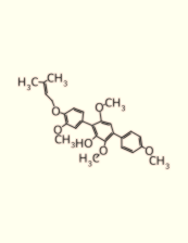 COc1ccc(-c2cc(OC)c(-c3ccc(OCC=C(C)C)c(OC)c3)c(O)c2OC)cc1